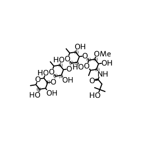 CO[C@H]1C(O)[C@H](NC(=O)CC(C)(C)O)C(C)O[C@H]1OC1[C@@H](O)C(C)O[C@@H](OC2[C@@H](O)C(C)O[C@@H](O[C@@H]3C(O)OC(C)[C@H](O)C3O)[C@H]2O)[C@H]1O